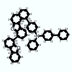 c1ccc(-c2ccc(N(c3ccccc3)c3ccc(-c4cccc5ccc6oc7c(-c8cccc9c8oc8ccccc89)cccc7c6c45)cc3)cc2)cc1